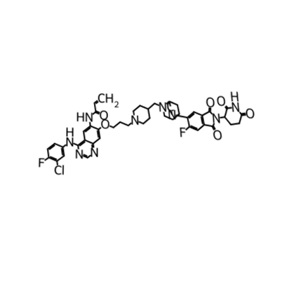 C=CC(=O)Nc1cc2c(Nc3ccc(F)c(Cl)c3)ncnc2cc1OCCCN1CCC(CN2CC3CCC2CN3c2cc3c(cc2F)C(=O)N(C2CCC(=O)NC2=O)C3=O)CC1